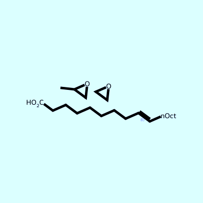 C1CO1.CC1CO1.CCCCCCCC/C=C/CCCCCCCC(=O)O